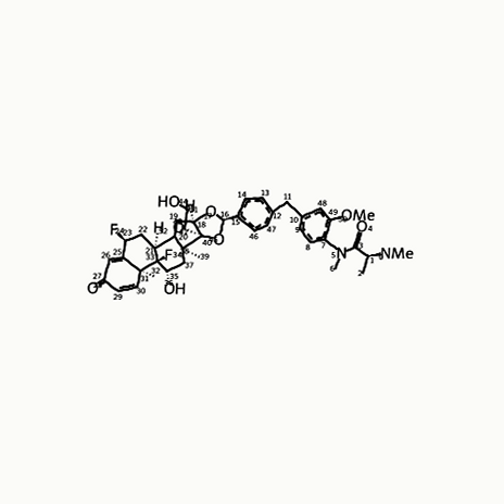 CN[C@@H](C)C(=O)N(C)c1ccc(Cc2ccc([C@@H]3O[C@@H]4CC5[C@@H]6C[C@H](F)C7=CC(=O)C=C[C@]7(C)[C@@]6(F)[C@@H](O)C[C@]5(C)[C@]4(C(=O)CO)O3)cc2)cc1OC